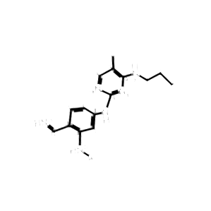 CCCNc1nc(Nc2ccc(C=N)c(NC)c2)ncc1C